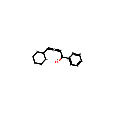 OC(C=C=CC1CCCCC1)c1ccccc1